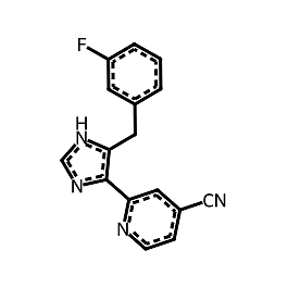 N#Cc1ccnc(-c2nc[nH]c2Cc2cccc(F)c2)c1